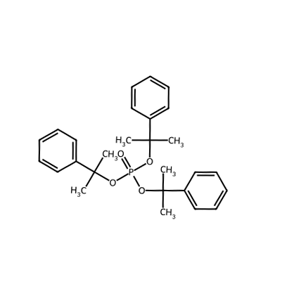 CC(C)(OP(=O)(OC(C)(C)c1ccccc1)OC(C)(C)c1ccccc1)c1ccccc1